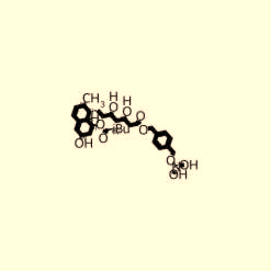 CC[C@H](C)C(=O)O[C@H]1C[C@H](O)C=C2C=C[C@H](C)[C@H](CCC(O)C[C@H](O)CC(=O)OCc3ccc(CON(O)O)cc3)[C@H]21